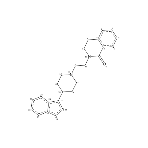 O=C1c2ncccc2CCN1CCN1CCC(c2nsc3ccccc23)CC1